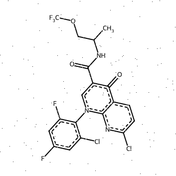 CC(COC(F)(F)F)NC(=O)c1cn(-c2c(F)cc(F)cc2Cl)c2nc(Cl)ccc2c1=O